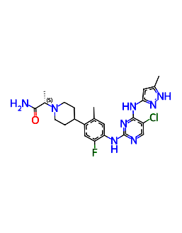 Cc1cc(Nc2nc(Nc3cc(C)c(C4CCN([C@@H](C)C(N)=O)CC4)cc3F)ncc2Cl)n[nH]1